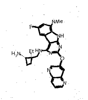 CC[C@]1(CNc2nc(Oc3cnc4cccnc4c3)nc3[nH]c4c(NC)cc(F)cc4c23)CC[C@@H]1N